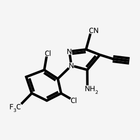 C#Cc1c(C#N)nn(-c2c(Cl)cc(C(F)(F)F)cc2Cl)c1N